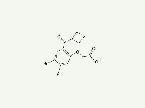 O=C(O)COc1cc(F)c(Br)cc1C(=O)C1CCC1